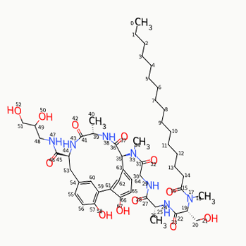 CCCCCCCCCCCCCCCC(=O)N(C)[C@H](CO)C(=O)N[C@H](C)C(=O)NCC(=O)N(C)[C@@H]1C(=O)N[C@@H](C)C(=O)N[C@H](C(=O)NCC(O)CO)Cc2ccc(O)c(c2)-c2cc1ccc2O